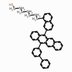 S[SiH2][SiH2][SiH2][SiH2][SiH2][SiH2][SiH2]c1cccc2ccc(-c3c4ccccc4c(-c4cccc(-c5ccccc5)c4)c4cc5ccccc5cc34)cc12